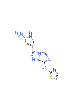 NN1C=C(c2cnc3c(Nc4nccs4)nccn23)CN1